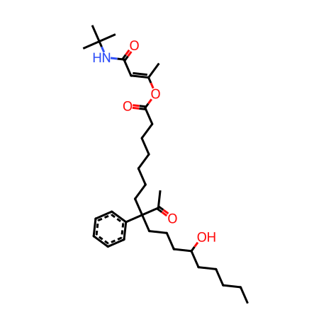 CCCCCC(O)CCCC(CCCCCCC(=O)OC(C)=CC(=O)NC(C)(C)C)(C(C)=O)c1ccccc1